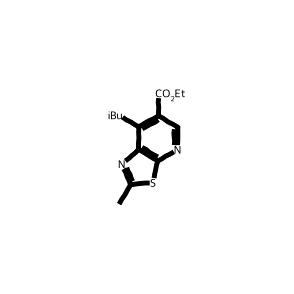 CCOC(=O)c1cnc2sc(C)nc2c1C(C)CC